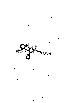 COCCCNc1nc(-c2ccco2)c(C(=O)O)c(N(C)c2cccc(C(F)(F)F)c2)n1